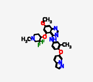 COc1cc(OC2CCN(C)CC2(F)F)c2c(Nc3ccc(Oc4ccc5ccnn5c4)c(C)c3)ncnc2c1